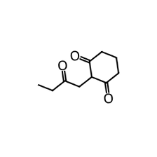 CCC(=O)CC1C(=O)CCCC1=O